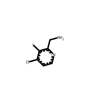 NCc1nccc(Cl)c1I